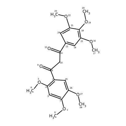 COc1cc(OC)c(C(=O)CC(=O)c2cc(OC)c(OC)c(OC)c2)cc1OC